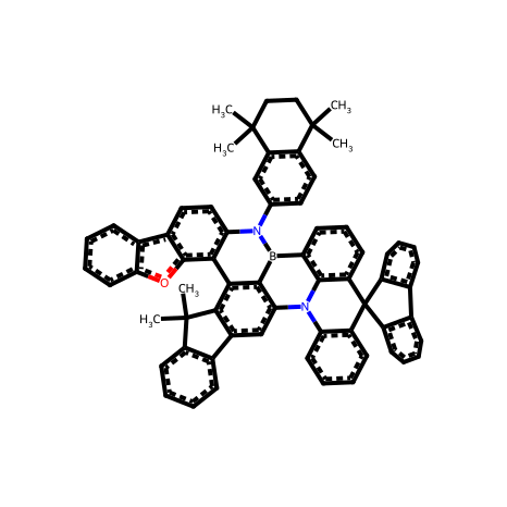 CC1(C)CCC(C)(C)c2cc(N3B4c5cccc6c5N(c5ccccc5C65c6ccccc6-c6ccccc65)c5cc6c(c(c54)-c4c3ccc3c4oc4ccccc43)C(C)(C)c3ccccc3-6)ccc21